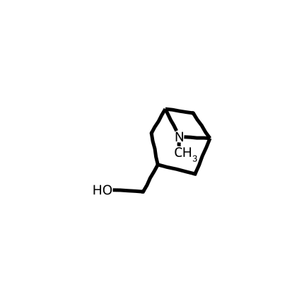 CN1C2CC(CO)CC1C2